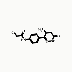 CC1CC(=O)NN=C1c1ccc(NC(=O)CCl)cc1